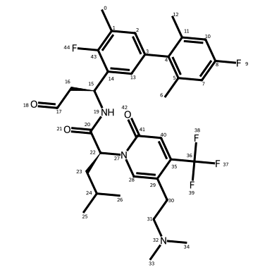 Cc1cc(-c2c(C)cc(F)cc2C)cc([C@H](CC=O)NC(=O)[C@H](CC(C)C)n2cc(CCN(C)C)c(C(F)(F)F)cc2=O)c1F